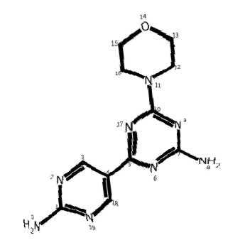 Nc1ncc(-c2nc(N)nc(N3CCOCC3)n2)cn1